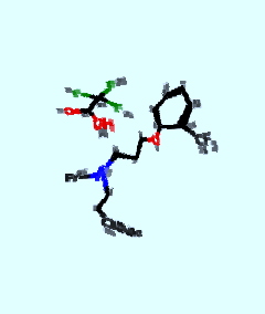 COCCN(CCCOc1c[c]ccc1C(F)(F)F)C(C)C.O=C(O)C(F)(F)F